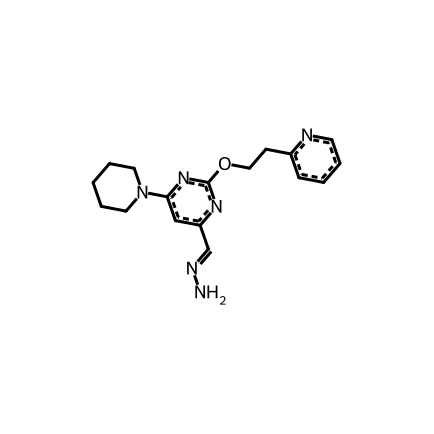 N/N=C/c1cc(N2CCCCC2)nc(OCCc2ccccn2)n1